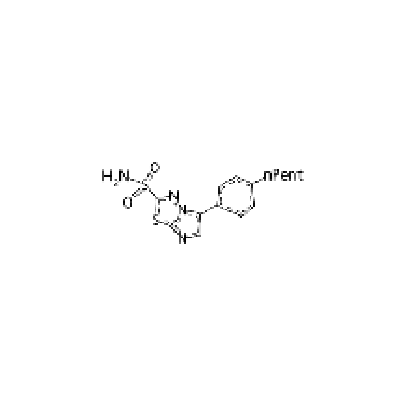 CCCCCc1ccc(-c2cnc3sc(S(N)(=O)=O)nn23)cc1